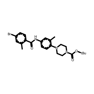 Cc1cc(Br)ccc1C(=O)Nc1ccc(N2CCN(C(=O)OC(C)(C)C)CC2)c(C)c1